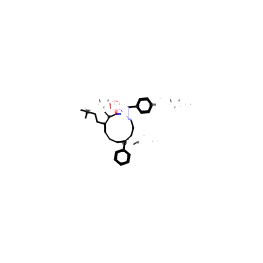 CCCC(C)C[C@]1(c2ccccc2)CCCC(CCC(C)(C)OC)C(C)C(=O)N(Cc2ccc(OC)cc2)CCC1